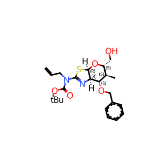 C=CCN(C(=O)OC(C)(C)C)C1=N[C@@H]2[C@@H](OCc3ccccc3)[C@H](C)[C@@H](CO)O[C@@H]2S1